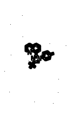 Cc1ccc(N2CC(C(C)(C)C)N=C2c2cccc3cccnc23)cc1